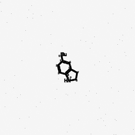 CCC(C)c1ccc2c(c1)CCN2